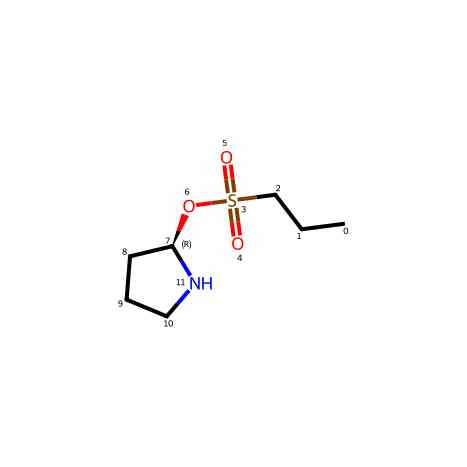 CCCS(=O)(=O)O[C@@H]1CCCN1